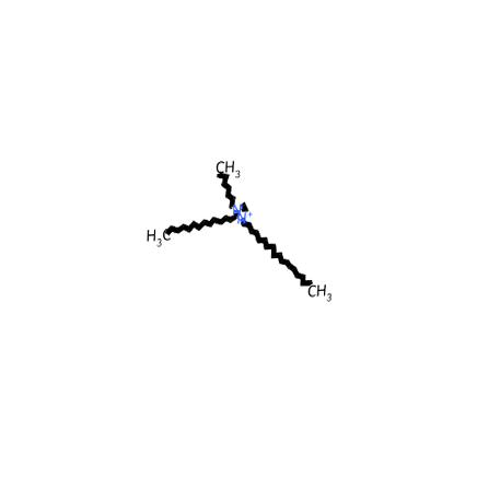 CCCCCCCCCCCCCCCCCCC[n+]1ccn(CCCCCCCC)c1CCCCCCCCCCCCC